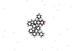 C1=CC2c3ccccc3C3(c4ccccc4N(c4ccccc4)c4ccc(N(c5ccccc5)c5cc6c(cc5N(c5ccccc5)c5ccccc5)sc5ccccc56)cc43)C2C=C1